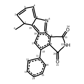 CC1C=CC=C2N=c3c4c(c(-c5ccccc5)cc3=C21)C(=O)NC4=O